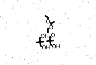 CC(C)(C=O)CO.CC(C)(CO)CO.CCOC(C)OCC